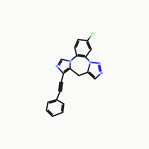 Clc1ccc2c(c1)-n1nncc1Cc1c(C#Cc3ccccc3)ncn1-2